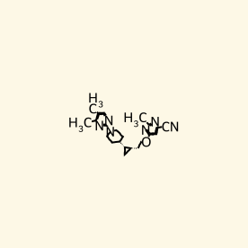 Cc1nc(C#N)cc(OCC[C@@H]2C[C@@H]2C2CCN(c3ncc(C)c(C)n3)CC2)n1